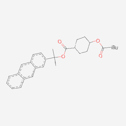 CCC(C)C(=O)OC1CCC(C(=O)OC(C)(C)c2ccc3cc4ccccc4cc3c2)CC1